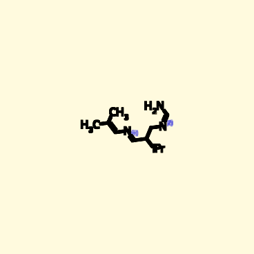 CC(C)=C/N=C/C(C/N=C\N)C(C)C